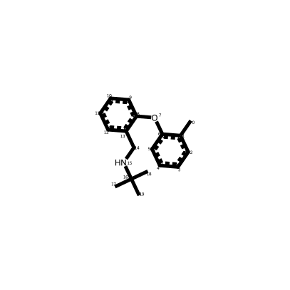 Cc1ccccc1Oc1ccccc1CNC(C)(C)C